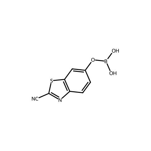 N#Cc1nc2ccc(OB(O)O)cc2s1